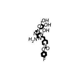 Nc1nc(CC2CCN(C(=O)Oc3ccc(F)cc3)CC2)nc2c1ncn2[C@@H]1O[C@H](CO)C(O)C1O